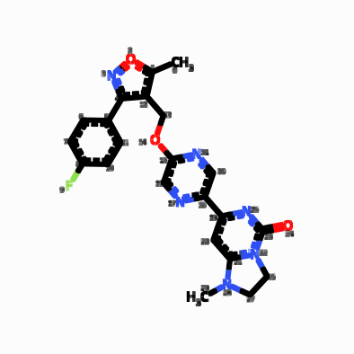 Cc1onc(-c2ccc(F)cc2)c1COc1cnc(-c2cc3n(c(=O)n2)CCN3C)cn1